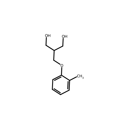 Cc1ccccc1OCC(CO)CO